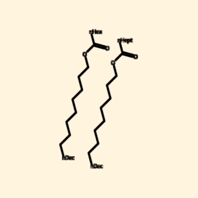 CCCCCCCCCCCCCCCCCCOC(=O)CCCCCC.CCCCCCCCCCCCCCCCCCOC(=O)CCCCCCC